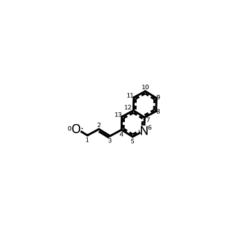 [O]CC=Cc1cnc2ccccc2c1